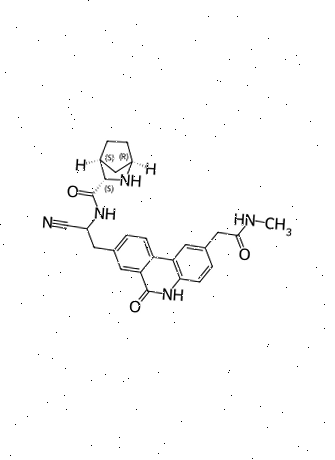 CNC(=O)Cc1ccc2[nH]c(=O)c3cc(CC(C#N)NC(=O)[C@H]4N[C@@H]5CC[C@H]4C5)ccc3c2c1